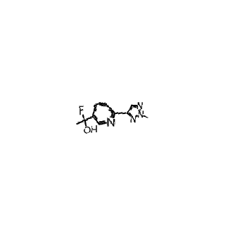 Cn1ncc(-c2ccc(C(C)(O)F)cn2)n1